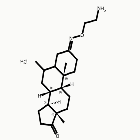 CC1C[C@@H]2[C@@H](CC[C@]3(C)C(=O)CC[C@@H]23)[C@@]2(C)CCC(=NOCCN)CC12.Cl